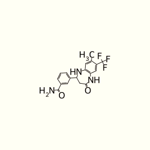 Cc1cc2c(cc1C(F)(F)F)NC(=O)CC(c1cccc(C(N)=O)c1)N2